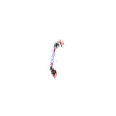 C[C@H]1CC[C@H]([C@@H](C)[C@H]2[C@@H](O)C[C@H]3[C@@H]4CC=C5C[C@@H](OC(=O)NCCNCCNCCNCCNC(=O)O[C@H]6CC[C@@]7(C)C(=CC[C@H]8[C@@H]9C[C@@H]%10O[C@@]%11(CC[C@H](C)CO%11)[C@@H](C)[C@@H]%10[C@@]9(C)CC[C@@H]87)C6)CC[C@]5(C)[C@H]4CC[C@]23C)OC1